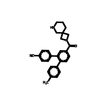 Cc1ccc(-c2ccc(C(=O)N3CC4(CCCNC4)C3)cc2-c2ccc(C#N)cc2)cc1